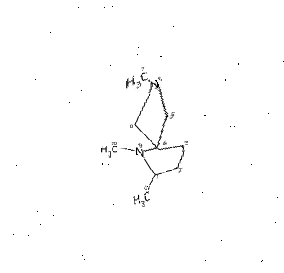 CC1CCC2(CN(C)C2)N1C